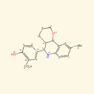 CC(C)(C)c1ccc2c(c1)C1OCCCC1C(c1ccc(O)c(C(=O)O)c1)N2